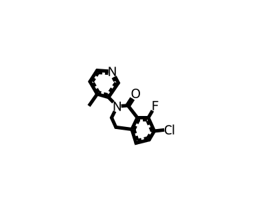 Cc1ccncc1N1CCc2ccc(Cl)c(F)c2C1=O